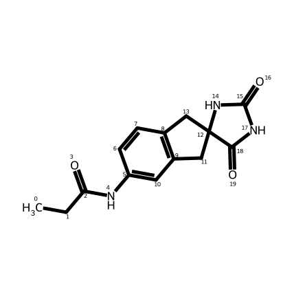 CCC(=O)Nc1ccc2c(c1)CC1(C2)NC(=O)NC1=O